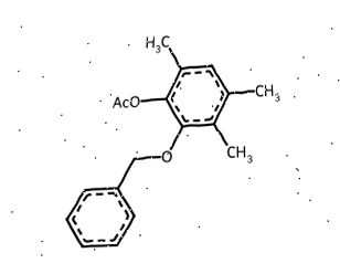 CC(=O)Oc1c(C)cc(C)c(C)c1OCc1ccccc1